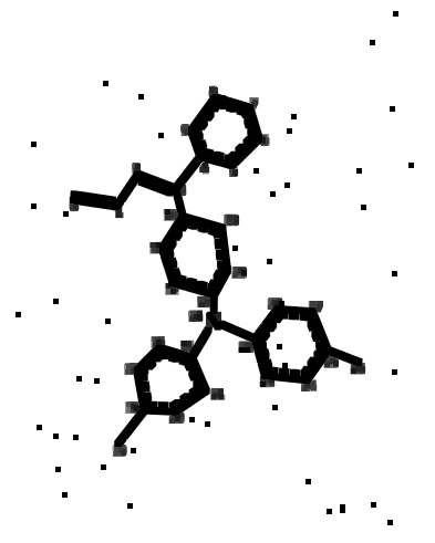 C=CC=C(c1ccccc1)c1ccc(N(c2ccc(C)cc2)c2ccc(C)cc2)cc1